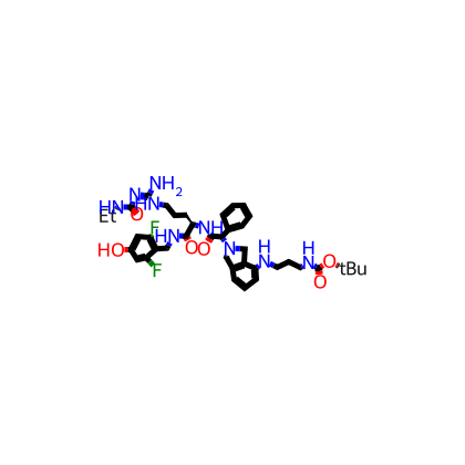 CCNC(=O)/N=C(/N)NCCC[C@@H](NC(=O)C(c1ccccc1)N1Cc2cccc(NCCCNC(=O)OC(C)(C)C)c2C1)C(=O)NCc1c(F)cc(O)cc1F